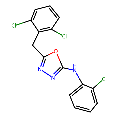 Clc1ccccc1Nc1nnc(Cc2c(Cl)cccc2Cl)o1